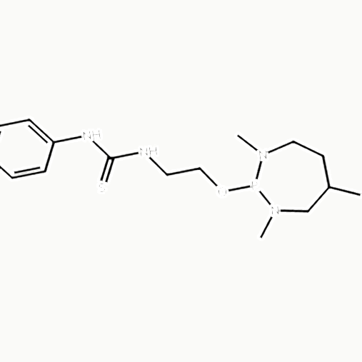 CC1CCN(C)P(OCCNC(=S)Nc2ccccc2)N(C)C1